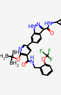 BC(B)(B)Oc1ncc(-c2ccc3c(C(=O)NC4CC4)n[nH]c3c2)cc1C(=O)NCc1ccccc1OC(F)(F)F